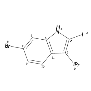 CC(C)c1c(I)[nH]c2cc(Br)ccc12